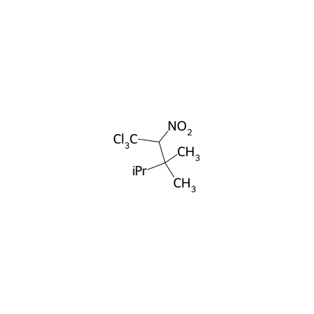 CC(C)C(C)(C)C([N+](=O)[O-])C(Cl)(Cl)Cl